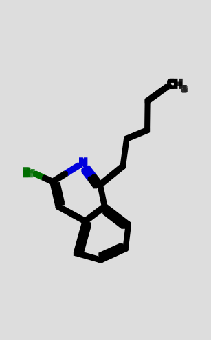 CCCCCc1nc(Br)cc2ccccc12